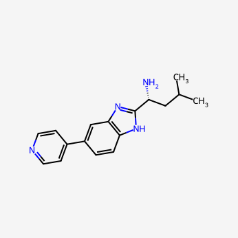 CC(C)C[C@@H](N)c1nc2cc(-c3ccncc3)ccc2[nH]1